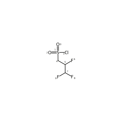 O=S(=O)(Cl)CC(F)C(F)F